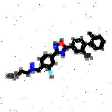 Cc1ccccc1-c1ccc(-c2nc(-c3ccc(CNCCC(=O)O)c(F)c3)no2)cc1C(F)(F)F